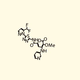 COc1c(Nc2cccnc2)cc(C(=O)Nc2nnc(-n3nccc3C(F)F)s2)oc1=O